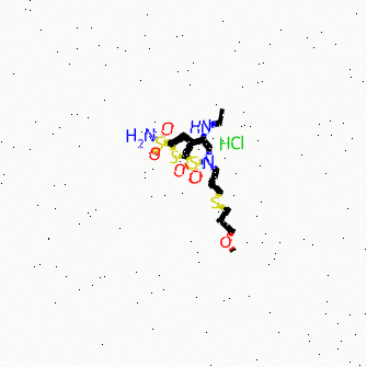 CCNC1CN(CCCSCCCOC)S(=O)(=O)c2sc(S(N)(=O)=O)cc21.Cl